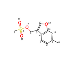 Cc1ccc2c(COS(C)(=O)=O)coc2c1